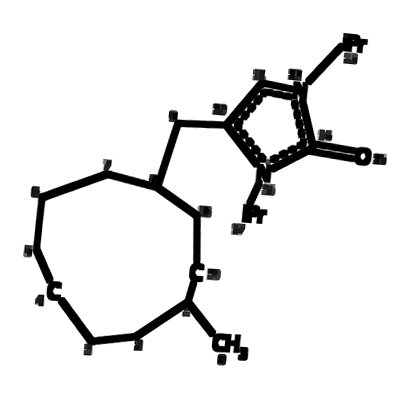 CC1CCCCCCC(Cc2cn(C(C)C)c(=O)n2C(C)C)CC1